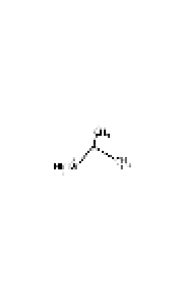 CC(C)Br.[KH]